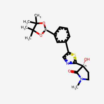 CN1CC[C@](O)(c2ncc(-c3cccc(B4OC(C)(C)C(C)(C)O4)c3)s2)C1=O